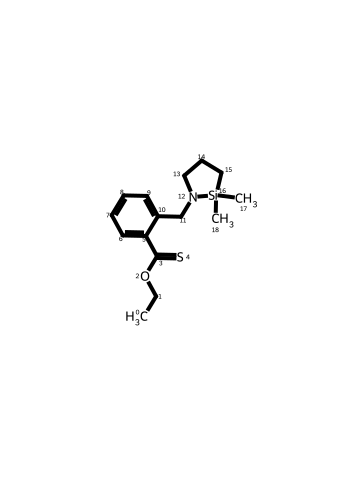 CCOC(=S)c1ccccc1CN1CCC[Si]1(C)C